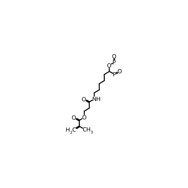 C=C(C)C(=O)OCCC(=O)NCCCCCC(OP=O)P=O